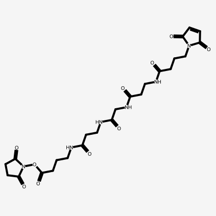 O=C(CCCN1C(=O)C=CC1=O)NCCC(=O)NCC(=O)NCCC(=O)NCCCC(=O)ON1C(=O)CCC1=O